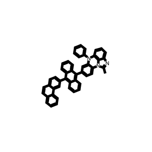 Cc1nc2cccc3c2n1-c1ccc(-c2c4ccccc4c(-c4ccc5ccc6ccccc6c5c4)c4ccccc24)cc1N3c1ccccc1